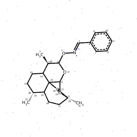 C[C@H]1C(O/N=C/c2ccccc2)OC2O[C@]3(C)CCC4[C@H](C)CCC1C24OO3